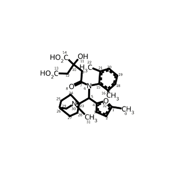 Cc1ccc(C(N(C(=O)CC(O)(CC(=O)O)C(=O)O)c2c(C)cccc2C)C23CCC(CC2)CN3C)o1